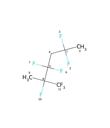 CC(F)(F)CC(F)(F)C(C)(F)C(F)(F)F